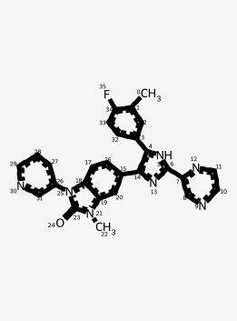 Cc1cc(-c2[nH]c(-c3cnccn3)nc2-c2ccc3c(c2)n(C)c(=O)n3-c2cccnc2)ccc1F